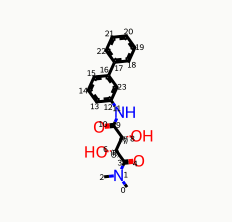 CN(C)C(=O)[C@H](O)[C@@H](O)C(=O)Nc1cccc(-c2ccccc2)c1